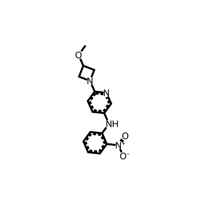 COC1CN(c2ccc(Nc3ccccc3[N+](=O)[O-])cn2)C1